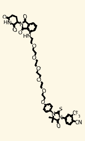 CC1(C)C(=O)N(c2ccc(C#N)c(C(F)(F)F)c2)C(=S)N1c1ccc(OCCOCCOCCOCCOCCOCCNc2cccc3c2C(=O)N(C2CCC(=O)NC2=O)C3=O)cc1